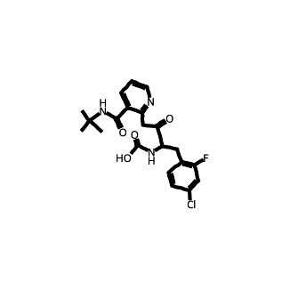 CC(C)(C)NC(=O)c1cccnc1CC(=O)C(Cc1ccc(Cl)cc1F)NC(=O)O